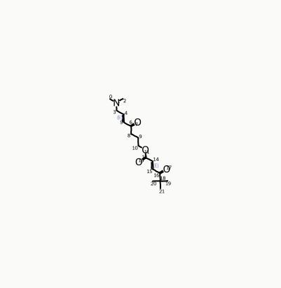 CN(C)C/C=C/C(=O)CCCOC(=O)/C=C/C(=O)C(C)(C)C